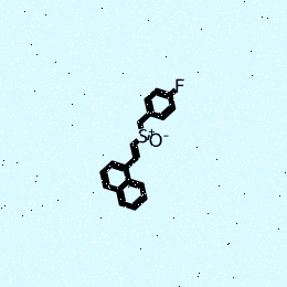 [O-][S+](/C=C/c1cccc2ccccc12)Cc1ccc(F)cc1